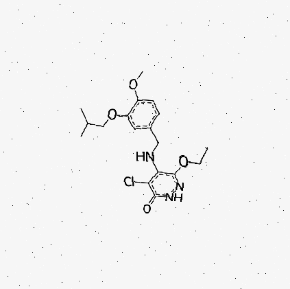 CCOc1n[nH]c(=O)c(Cl)c1NCc1ccc(OC)c(OCC(C)C)c1